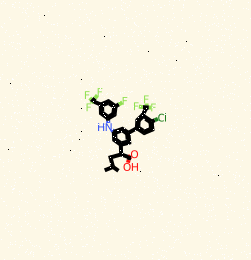 CC(C)CC(C(=O)O)c1cc(Nc2cc(F)cc(C(F)(F)F)c2)cc(-c2ccc(Cl)c(C(F)(F)F)c2)c1